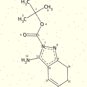 CC(C)(C)OC(=O)n1nc2c(c1N)C=CCC2